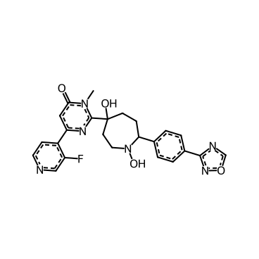 Cn1c(C2(O)CCC(c3ccc(-c4ncon4)cc3)N(O)CC2)nc(-c2ccncc2F)cc1=O